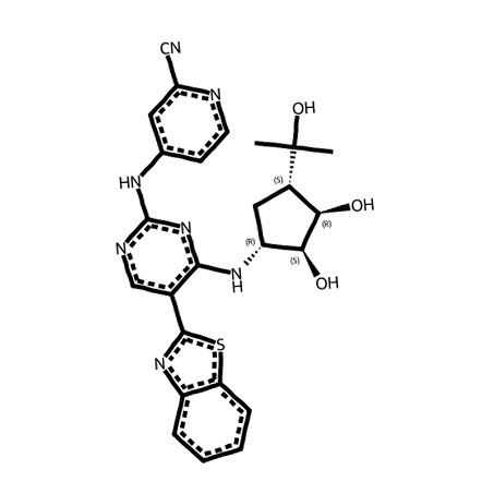 CC(C)(O)[C@H]1C[C@@H](Nc2nc(Nc3ccnc(C#N)c3)ncc2-c2nc3ccccc3s2)[C@H](O)[C@@H]1O